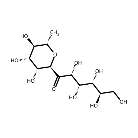 C[C@@H]1O[C@@H](C(=O)[C@H](O)[C@@H](O)[C@H](O)[C@H](O)CO)[C@H](O)[C@H](O)[C@H]1O